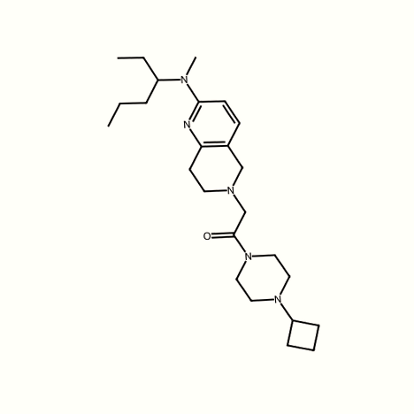 CCCC(CC)N(C)c1ccc2c(n1)CCN(CC(=O)N1CCN(C3CCC3)CC1)C2